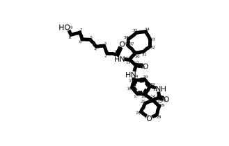 O=C(CCCCCCCO)NC(C(=O)Nc1ccc2c(c1)NC(=O)C21CCOCC1)C1CCCCCCC1